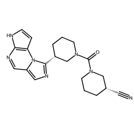 N#C[C@@H]1CCCN(C(=O)N2CCC[C@@H](c3ncc4cnc5[nH]ccc5n34)C2)C1